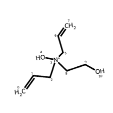 C=CC[N+](O)(CC=C)CCO